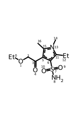 CCOCC(=O)c1c(S(N)(=O)=O)c(CC)n(C)c1C